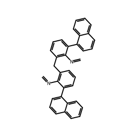 C=Nc1c(Cc2cccc(-c3cccc4ccccc34)c2N=C)cccc1-c1cccc2ccccc12